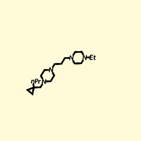 CCCC1(CN2CCN(CCCN3CCN(CC)CC3)CC2)CC1